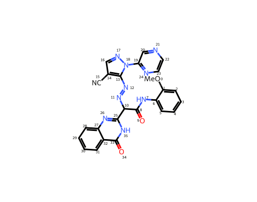 COc1ccccc1NC(=O)C(N=Nc1c(C#N)cnn1-c1cnccn1)c1nc2ccccc2c(=O)[nH]1